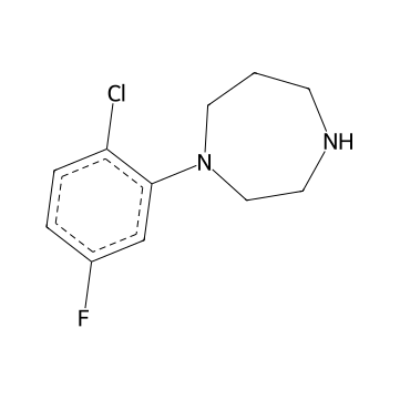 Fc1ccc(Cl)c(N2CCCNCC2)c1